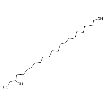 OCCCCCCCCCCCCCCCCCCCC(O)CO